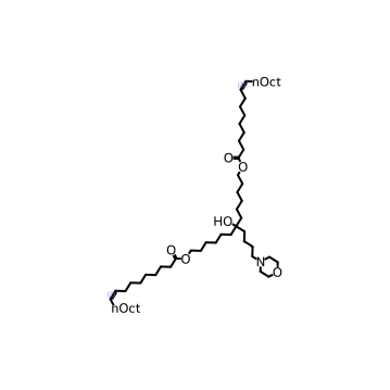 CCCCCCCC/C=C\CCCCCCCC(=O)OCCCCCCC(O)(CCCCCCOC(=O)CCCCCCC/C=C\CCCCCCCC)CCCCN1CCOCC1